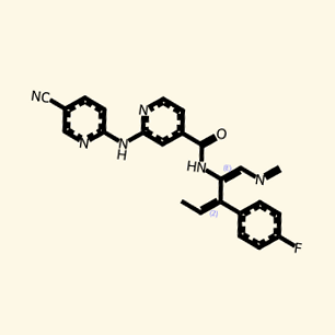 C=N/C=C(NC(=O)c1ccnc(Nc2ccc(C#N)cn2)c1)\C(=C/C)c1ccc(F)cc1